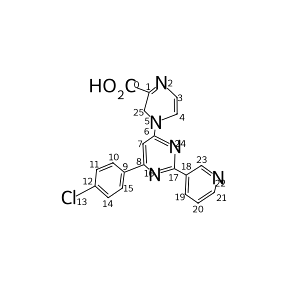 O=C(O)C1=NC=CN(c2cc(-c3ccc(Cl)cc3)nc(-c3cccnc3)n2)C1